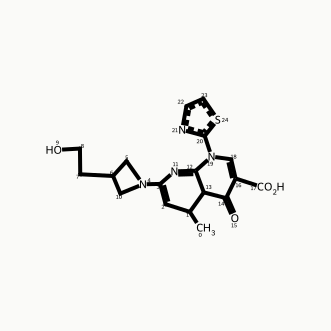 CC1C=C(N2CC(CCO)C2)N=C2C1C(=O)C(C(=O)O)=CN2c1nccs1